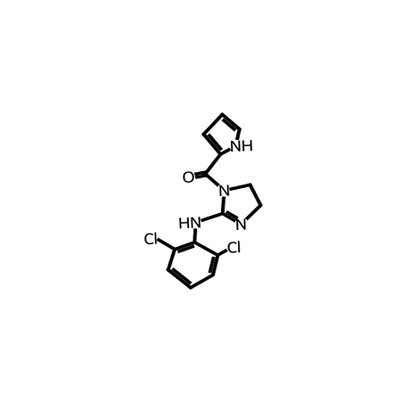 O=C(c1ccc[nH]1)N1CCN=C1Nc1c(Cl)cccc1Cl